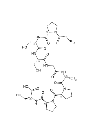 C[C@H](NC(=O)CNC(=O)[C@H](CO)NC(=O)[C@H](CO)NC(=O)[C@@H]1CCCN1C(=O)CN)C(=O)N1CCC[C@H]1C(=O)N1CCC[C@H]1C(=O)N[C@@H](CO)C(=O)O